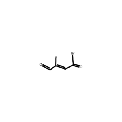 C/C(C=O)=C\C(=O)Br